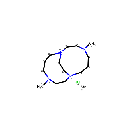 CN1CCCN2CCN(C)CCCN(CC1)CC2.Cl.[Mn]